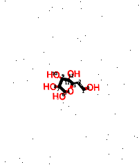 OCC[C@H]1OC(O)[C@@H](O)[C@@H](O)[C@@H]1O